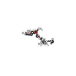 CCCC1OC2CC3C4CC/C(=C/C(=O)/C=C\N)C(C)C4C(O)CC3(C)C2(C(=O)COC2CCCC(COC(=O)CNC(=O)C(NC(=O)CCCCCN3C(=O)C=CC3=O)C(C)C)O2)O1